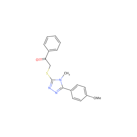 COc1ccc(-c2nnc(SCC(=O)c3ccccc3)n2C)cc1